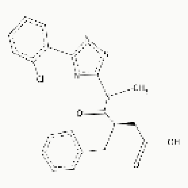 CN(C(=O)[C@@H](CC(=O)O)Cc1ccccc1)c1nc(-c2ccccc2Cl)ns1